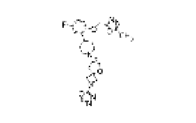 Cc1nnc(COc2ccc(F)cc2C2CCN([C@@H]3COC4(C3)CN(c3nnco3)C4)CC2)o1